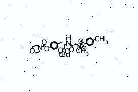 Cc1ccc(S(=O)(=O)N(C)CC(=O)N[C@@H](Cc2ccc(OC(=O)N3CCOCC3)cc2)C(=O)OC(C)(C)C)cc1